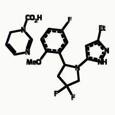 CCc1cc(N2CC(F)(F)CC2c2cc(F)ccc2OC)[nH]n1.O=C(O)N1C=NC=CC1